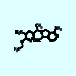 Cc1cc(C(C)N2Cc3c(ccnc3N)C2C=O)cnc1OCC(F)(F)F